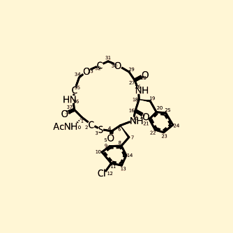 CC(=O)N[C@H]1CSC(=O)[C@H](Cc2ccc(Cl)cc2)NC(=O)[C@H](Cc2ccccc2)NC(=O)COCCOCCNC1=O